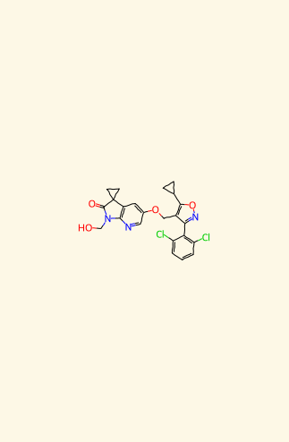 O=C1N(CO)c2ncc(OCc3c(-c4c(Cl)cccc4Cl)noc3C3CC3)cc2C12CC2